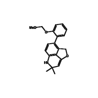 COCOc1ccccc1-c1ccc2c3c1COC3=CC(C)(C)N2